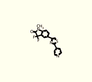 CN1C(=O)C(F)(F)c2cc(-c3csc(-c4ccncc4)n3)ccc21